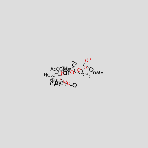 C=C1C[C@H](C[C@@H]2CC(=C)C[C@H](/C=C/C(C)(C)[C@]3(OC)O[C@H](C[C@@H](O[Si](C)(C)C(C)(C)C)[C@@H](C)OCOCc4ccccc4)C/C(=C\C(=O)O)[C@@H]3OC(C)=O)O2)O[C@H](C[C@H](CCO)OCc2ccc(OC)cc2)C1